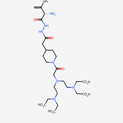 C=C(CCC)[C@H](N)C(=O)NNC(=O)CC1CCN(C(=O)CN(CCN(CC(=O)O)CC(=O)O)CCN(CC(=O)O)CC(=O)O)CC1